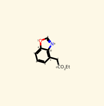 CCOC(=O)Cc1cccc2ocnc12